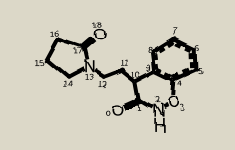 O=C1NOc2ccccc2C1CCN1CCCC1=O